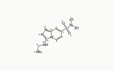 CCN(CC)S(=O)(=O)c1ccn2c(NCC(C)(C)C)nnc2c1